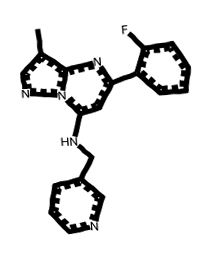 Cc1cnn2c(NCc3cccnc3)cc(-c3ccccc3F)nc12